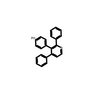 P.b1ccc(-c2ccccc2)c(-c2ccccc2)c1-c1ccccc1